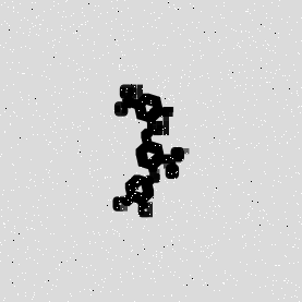 O=C(O)c1ccc(F)c(NCc2ccc(Sc3ccc(Cl)c(Cl)c3)c([N+](=O)[O-])c2)c1